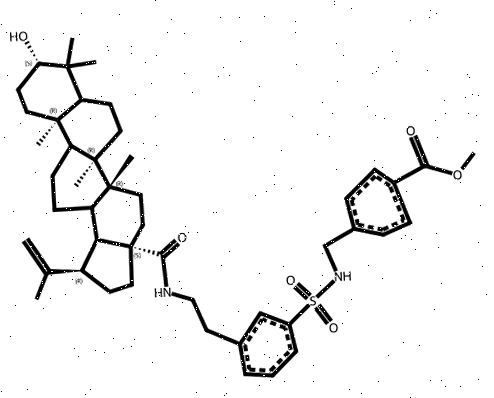 C=C(C)[C@@H]1CC[C@]2(C(=O)NCCc3cccc(S(=O)(=O)NCc4ccc(C(=O)OC)cc4)c3)CC[C@]3(C)C(CCC4[C@@]5(C)CC[C@H](O)C(C)(C)C5CC[C@]43C)C12